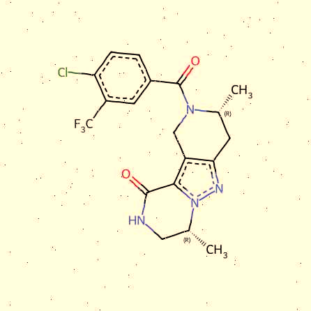 C[C@@H]1Cc2nn3c(c2CN1C(=O)c1ccc(Cl)c(C(F)(F)F)c1)C(=O)NC[C@H]3C